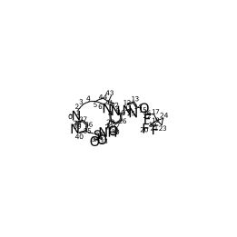 CN1CCCC2CN(c3nc(-n4ccc(OCCC5(C(F)(F)F)CC5)n4)ccc3C(=O)NS(=O)(=O)c3ccc1nc3)C(C)(C)C2